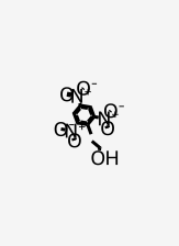 CCO.Cc1c([N+](=O)[O-])cc([N+](=O)[O-])cc1[N+](=O)[O-]